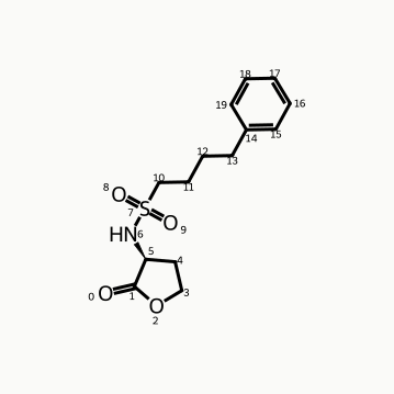 O=C1OCC[C@@H]1NS(=O)(=O)CCCCc1ccccc1